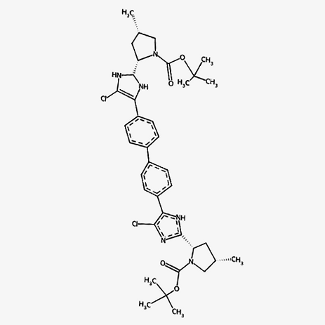 C[C@H]1C[C@@H](c2nc(Cl)c(-c3ccc(-c4ccc(C5=C(Cl)NC([C@@H]6C[C@H](C)CN6C(=O)OC(C)(C)C)N5)cc4)cc3)[nH]2)N(C(=O)OC(C)(C)C)C1